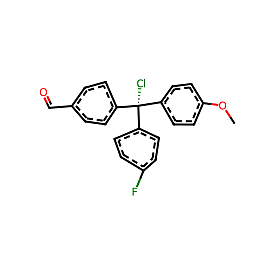 COc1ccc([C@@](Cl)(c2ccc(F)cc2)c2ccc(C=O)cc2)cc1